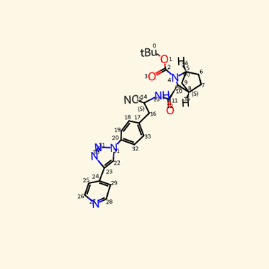 CC(C)(C)OC(=O)N1[C@@H]2CC[C@@H](C2)[C@H]1C(=O)N[C@H](C#N)Cc1ccc(-n2cc(-c3ccncc3)nn2)cc1